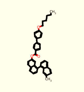 CCCCCCOc1ccc(-c2ccc(C(=O)Oc3ccc4cccc(-c5cccc6ccc(C)cc56)c4c3)cc2)cc1